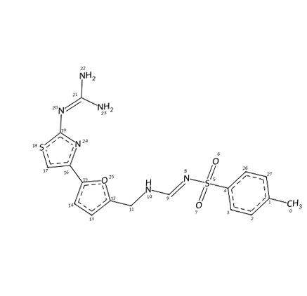 Cc1ccc(S(=O)(=O)/N=C/NCc2ccc(-c3csc(N=C(N)N)n3)o2)cc1